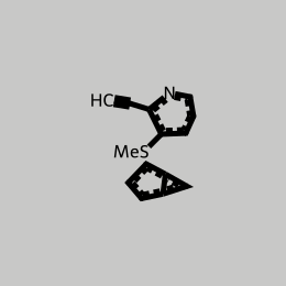 C#Cc1ncccc1SC.c1cc2cc-2c1